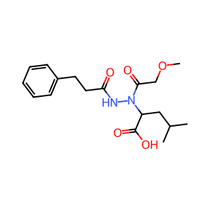 COCC(=O)N(NC(=O)CCc1ccccc1)C(CC(C)C)C(=O)O